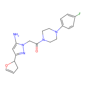 Nc1cc(C2CC=CO2)nn1CC(=O)N1CCN(c2ccc(F)cc2)CC1